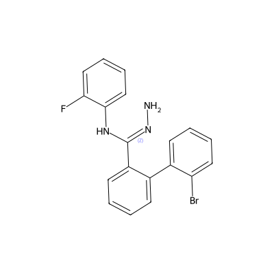 N/N=C(\Nc1ccccc1F)c1ccccc1-c1ccccc1Br